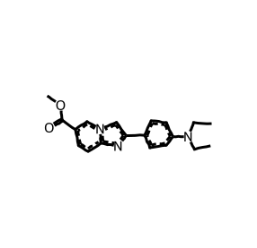 CCN(CC)c1ccc(-c2cn3cc(C(=O)OC)ccc3n2)cc1